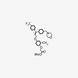 COC(=O)COc1ccc(OC/C=C(\c2ccc(CN3CCOCC3)cc2)c2ccc(C(F)(F)F)cc2)cc1C